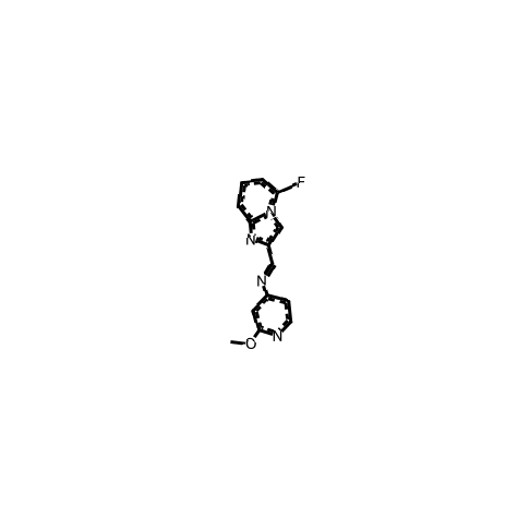 COc1cc(N=Cc2cn3c(F)cccc3n2)ccn1